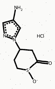 Cl.Nc1cnn(C2CC[S+]([O-])C(=O)C2)c1